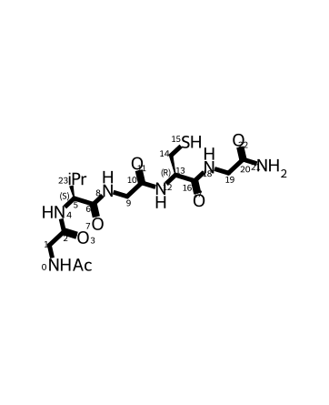 CC(=O)NCC(=O)N[C@H](C(=O)NCC(=O)N[C@@H](CS)C(=O)NCC(N)=O)C(C)C